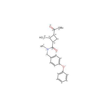 CCCN(Cc1ccc(Oc2ccccc2)cc1)C(=O)C1CC(C(=O)OCC(C)C)C1C(=O)O